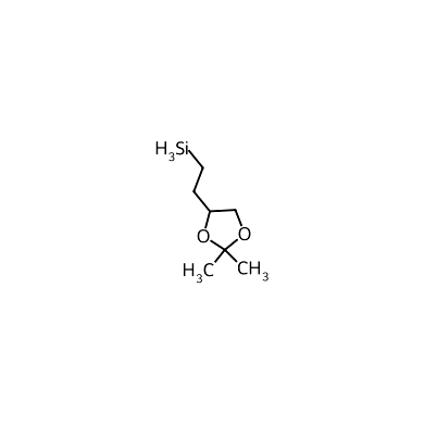 CC1(C)OCC(CC[SiH3])O1